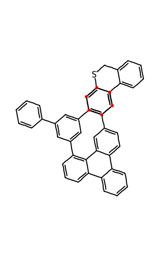 c1ccc(-c2cc(-c3ccccc3)cc(-c3cccc4c5ccccc5c5ccc(-c6ccc7c(c6)-c6ccccc6CS7)cc5c34)c2)cc1